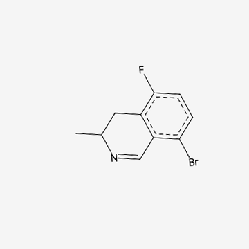 CC1Cc2c(F)ccc(Br)c2C=N1